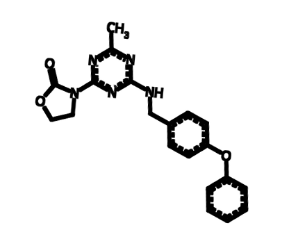 Cc1nc(NCc2ccc(Oc3ccccc3)cc2)nc(N2CCOC2=O)n1